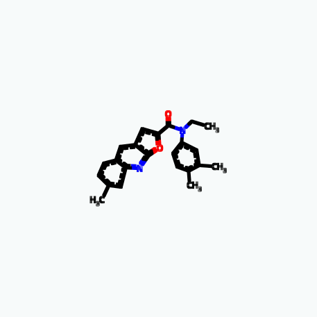 CCN(C(=O)c1cc2cc3ccc(C)cc3nc2o1)c1ccc(C)c(C)c1